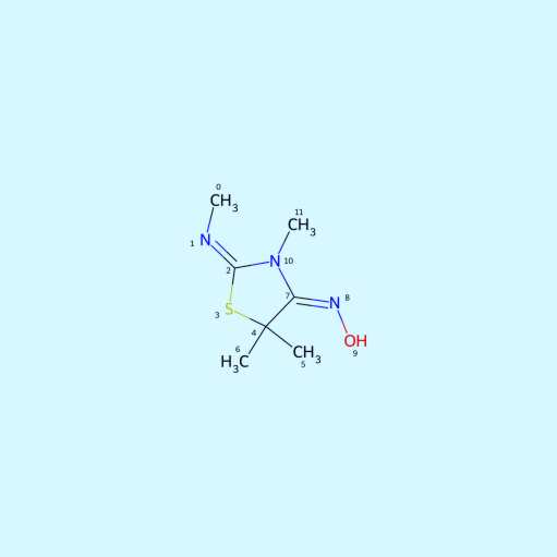 CN=C1SC(C)(C)C(=NO)N1C